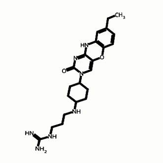 CCc1ccc2c(c1)Nc1nc(=O)n(C3CCC(NCCCNC(=N)N)CC3)cc1O2